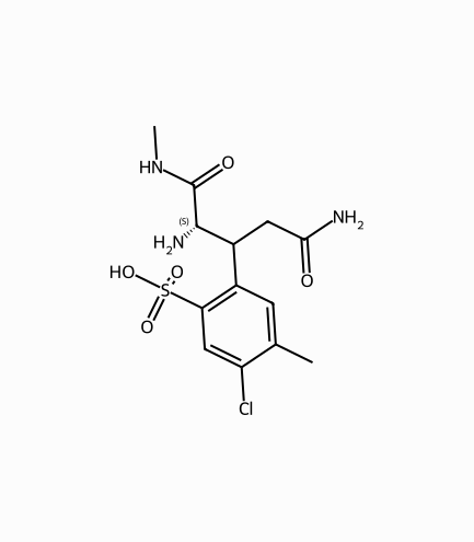 CNC(=O)[C@@H](N)C(CC(N)=O)c1cc(C)c(Cl)cc1S(=O)(=O)O